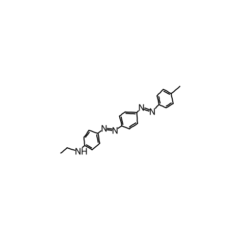 CCNc1ccc(N=Nc2ccc(N=Nc3ccc(C)cc3)cc2)cc1